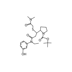 CCN(C(=O)CC(SCC(=O)N(C)C)C1CCCN1C(=O)OC(C)(C)C)c1cccc(O)c1